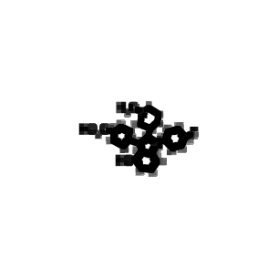 CN1CCCC(c2c(-c3ccc(C(=O)O)cc3)c3c(O)cccc3n2-c2ccc(F)cc2)C1